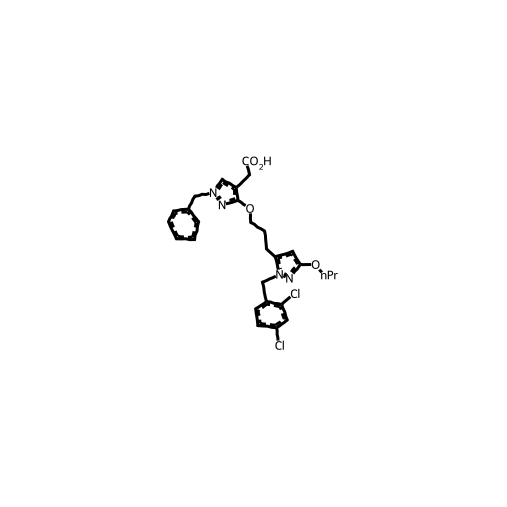 CCCOc1cc(CCCOc2nn(Cc3ccccc3)cc2CC(=O)O)n(Cc2ccc(Cl)cc2Cl)n1